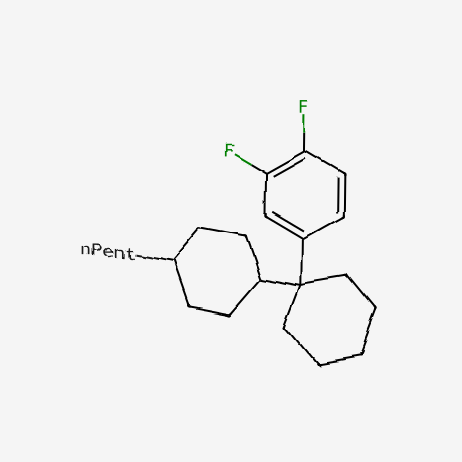 CCCCCC1CCC(C2(c3ccc(F)c(F)c3)CCCCC2)CC1